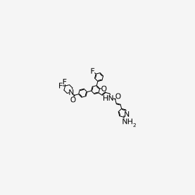 Nc1ccc(C=CC(=O)NCc2cc3cc(-c4ccc(C(=O)N5CCC(F)(F)CC5)cc4)cc(-c4cccc(F)c4)c3o2)cn1